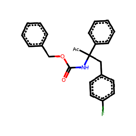 CC(=O)C(Cc1ccc(F)cc1)(NC(=O)OCc1ccccc1)c1ccccc1